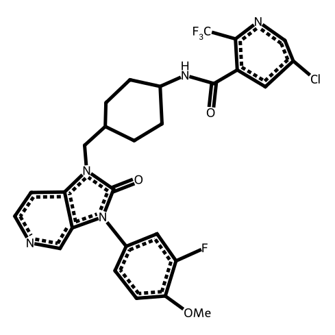 COc1ccc(-n2c(=O)n(CC3CCC(NC(=O)c4cc(Cl)cnc4C(F)(F)F)CC3)c3ccncc32)cc1F